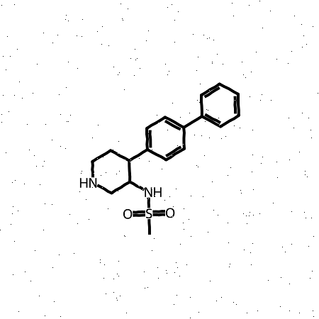 CS(=O)(=O)NC1CNCCC1c1ccc(-c2ccccc2)cc1